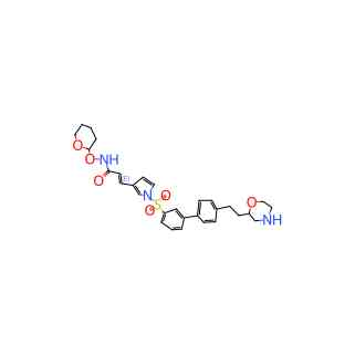 O=C(/C=C/c1ccn(S(=O)(=O)c2cccc(-c3ccc(CCC4CNCCO4)cc3)c2)c1)NOC1CCCCO1